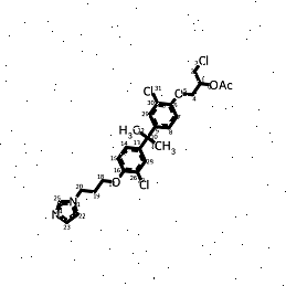 CC(=O)OC(CCl)COc1ccc(C(C)(C)c2ccc(OCCCn3ccnc3)c(Cl)c2)cc1Cl